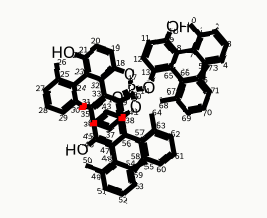 Cc1cccc(C)c1-c1c(O)ccc(OP(=O)(Oc2ccc(O)c(-c3c(C)cccc3C)c2-c2c(C)cccc2C)Oc2ccc(O)c(-c3c(C)cccc3C)c2-c2c(C)cccc2C)c1-c1c(C)cccc1C